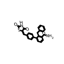 NC(=O)c1cccc(-c2ccc(C=C3SC(=O)NC3=O)cc2)c1Cc1ccccc1